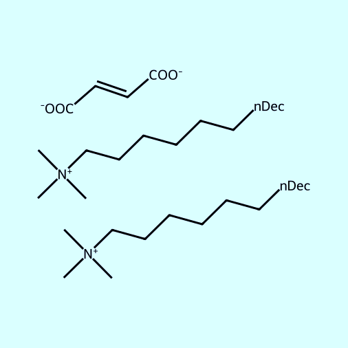 CCCCCCCCCCCCCCCC[N+](C)(C)C.CCCCCCCCCCCCCCCC[N+](C)(C)C.O=C([O-])C=CC(=O)[O-]